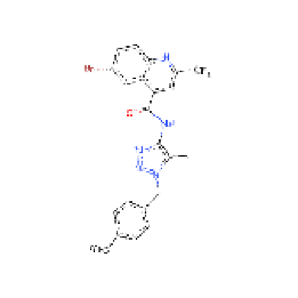 COc1ccc(Cn2nnc(NC(=O)c3cc(C(F)(F)F)nc4ccc(Br)cc34)c2C)cc1